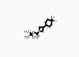 CC(C)(C)OC(=O)N1CC(C2CCC(F)(F)CC2)C1